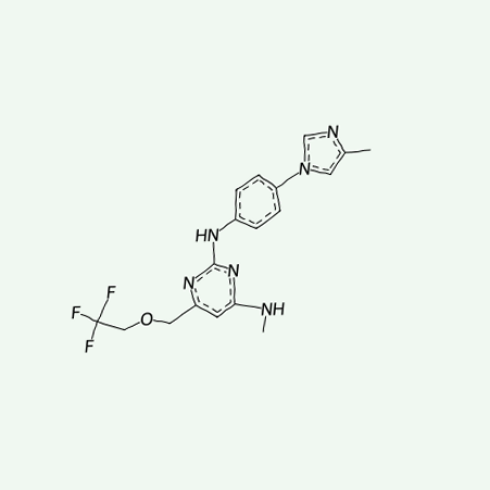 CNc1cc(COCC(F)(F)F)nc(Nc2ccc(-n3cnc(C)c3)cc2)n1